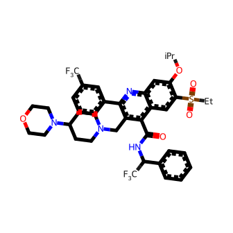 CCS(=O)(=O)c1cc2c(C(=O)NC(c3ccccc3)C(F)(F)F)c(CN3CCC(N4CCOCC4)CC3)c(-c3cccc(C(F)(F)F)c3)nc2cc1OC(C)C